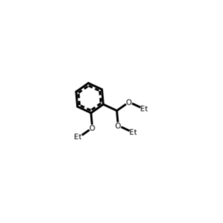 CCOc1ccccc1C(OCC)OCC